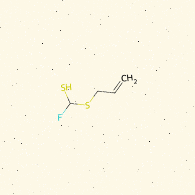 C=CCSC(F)S